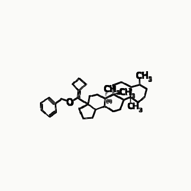 CC1CCCC2(C)C1CCC1(C)C2CCC2C3CCCC3(C(OCc3ccccc3)=C3CCC3)CC[C@]21C